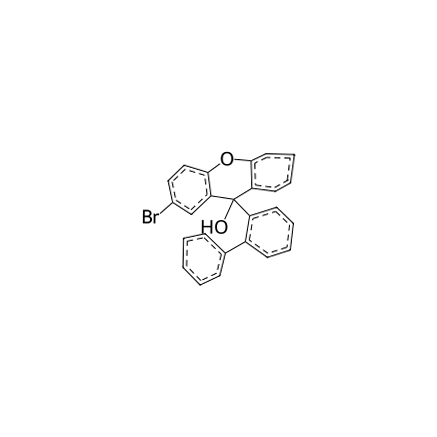 OC1(c2ccccc2-c2ccccc2)c2ccccc2Oc2ccc(Br)cc21